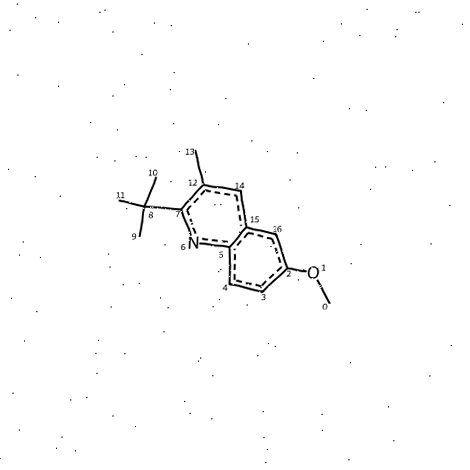 COc1ccc2nc(C(C)(C)C)c(C)cc2c1